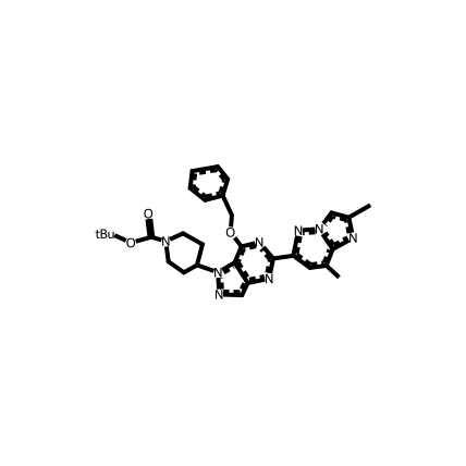 Cc1cn2nc(-c3nc(OCc4ccccc4)c4c(cnn4C4CCN(C(=O)OC(C)(C)C)CC4)n3)cc(C)c2n1